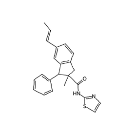 CC=Cc1ccc2c(c1)C(c1ccccc1)C(C)(C(=O)Nc1nccs1)C2